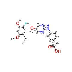 CCc1c(OC)cc(OC)c(F)c1COc1cnc(Nc2ccc(CC(=O)O)cc2)nc1